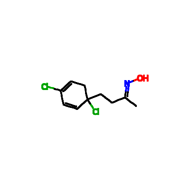 CC(CCC1(Cl)C=CC(Cl)=CC1)=NO